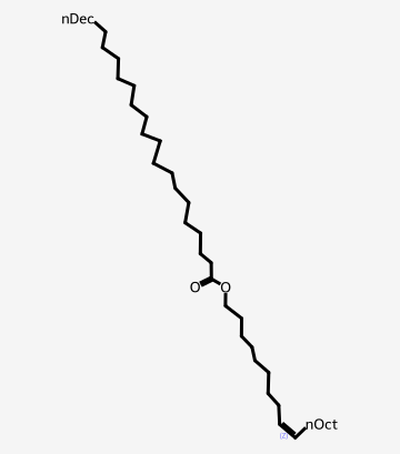 CCCCCCCC/C=C\CCCCCCCCOC(=O)CCCCCCCCCCCCCCCCCCCCCCCCCCC